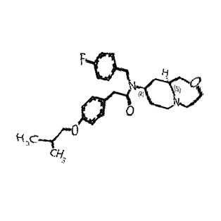 CC(C)COc1ccc(CC(=O)N(Cc2ccc(F)cc2)[C@@H]2CCN3CCOC[C@@H]3C2)cc1